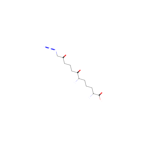 [N-]=[N+]=NCC(=O)CCCC(=O)C(N)CCCC(N)C(=O)O